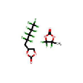 CC1(F)OC(=O)OC1(F)F.O=C1OCC(CC(F)(F)C(F)(F)C(F)(F)C(F)(F)F)O1